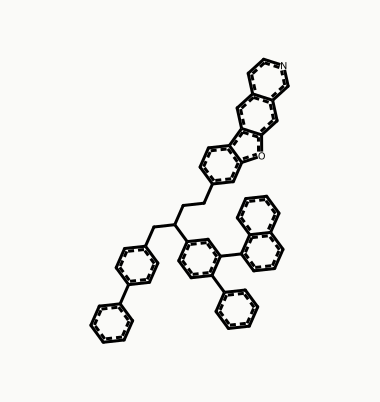 c1ccc(-c2ccc(CC(CCc3ccc4c(c3)oc3cc5cnccc5cc34)c3ccc(-c4ccccc4)c(-c4cccc5ccccc45)c3)cc2)cc1